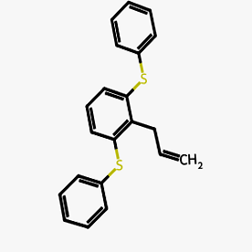 C=CCc1c(Sc2ccccc2)cccc1Sc1ccccc1